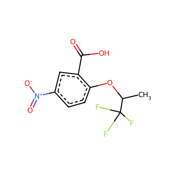 CC(Oc1ccc([N+](=O)[O-])cc1C(=O)O)C(F)(F)F